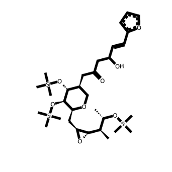 C[C@@H]([C@@H]1O[C@H]1C[C@@H]1OC[C@H](CC(=O)CC(O)/C=C/c2ccco2)[C@@H](O[Si](C)(C)C)[C@@H]1O[Si](C)(C)C)[C@H](C)O[Si](C)(C)C